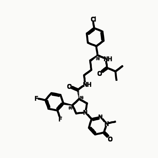 CC(C)C(=O)N[C@@H](CCCNC(=O)[C@@H]1CN(c2ccc(=O)n(C)n2)C[C@H]1c1ccc(F)cc1F)C1C=CC(Cl)=CC1